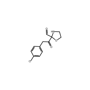 O=CC1(C(=O)Cc2ccc(Cl)cc2)NCCO1